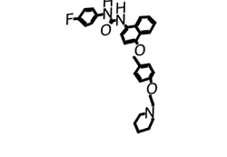 O=C(Nc1ccc(F)cc1)Nc1ccc(OCc2ccc(OCCN3CCCCC3)cc2)c2ccccc12